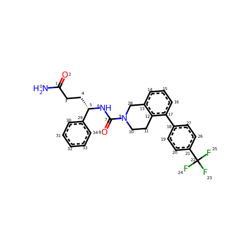 NC(=O)CC[C@H](NC(=O)N1CCc2c(cccc2-c2ccc(C(F)(F)F)cc2)C1)c1ccccc1